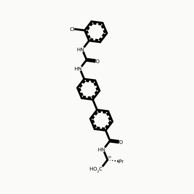 CC(C)[C@@H](NC(=O)c1ccc(-c2ccc(NC(=O)Nc3ccccc3Cl)cc2)cc1)C(=O)O